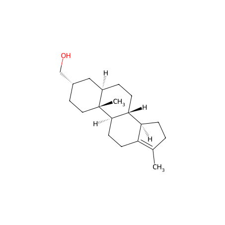 CC1=C2CC[C@@H]3[C@H](CC[C@@H]4C[C@@H](CO)CC[C@]43C)[C@H]2CC1